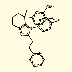 COc1cc(C2(C)CCCc3nc(SCc4ncccn4)n(-c4ccc(F)cc4)c32)ccc1Cl